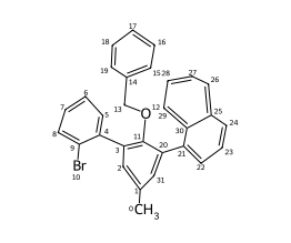 Cc1cc(-c2ccccc2Br)c(OCc2ccccc2)c(-c2cccc3ccccc23)c1